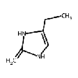 C=C1NC=C(CC)N1